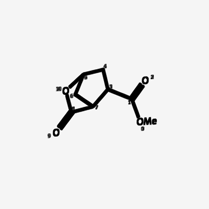 COC(=O)C1CC2CC1C(=O)O2